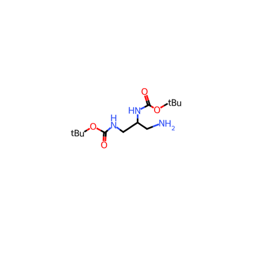 CC(C)(C)OC(=O)NCC(CN)NC(=O)OC(C)(C)C